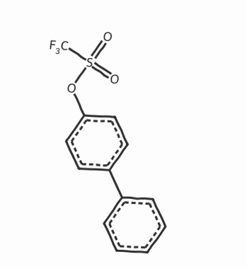 O=S(=O)(Oc1ccc(-c2ccccc2)cc1)C(F)(F)F